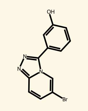 Oc1cccc(-c2nnc3ccc(Br)cn23)c1